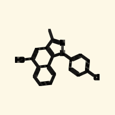 Cc1nn(-c2ccc(Cl)cc2)c2c1cc(O)c1ccccc12